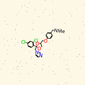 CNCc1ccc(OCC2COC(Cn3ccnc3)(c3ccc(Cl)cc3Cl)O2)cc1